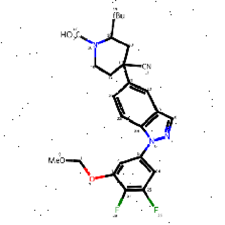 COCOc1cc(-n2ncc3cc(C4(C#N)CCN(C(=O)O)C(C(C)(C)C)C4)ccc32)cc(F)c1F